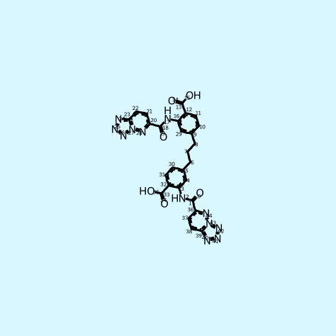 O=C(Nc1cc(CCCc2ccc(C(=O)O)c(NC(=O)c3ccc4nnnn4n3)c2)ccc1C(=O)O)c1ccc2nnnn2n1